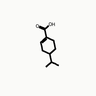 CC(C)C1CC=C(C(=O)O)CC1